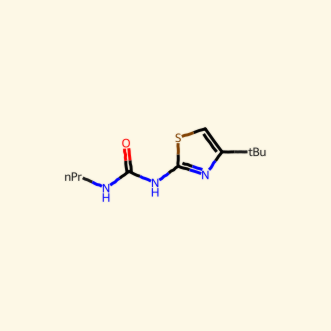 CCCNC(=O)Nc1nc(C(C)(C)C)cs1